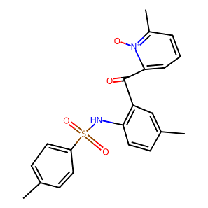 Cc1ccc(S(=O)(=O)Nc2ccc(C)cc2C(=O)c2cccc(C)[n+]2[O-])cc1